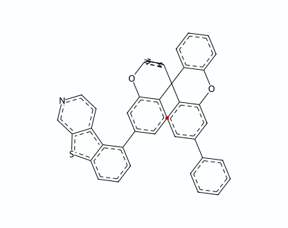 c1ccc(-c2ccc3c(c2)Oc2ccccc2C32c3ccccc3Oc3cc(-c4cccc5sc6cnccc6c45)ccc32)cc1